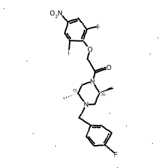 C[C@@H]1CN(C(=O)COc2c(I)cc([N+](=O)[O-])cc2I)[C@@H](C)CN1Cc1ccc(F)cc1